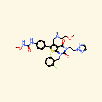 COCCN(C)Cc1c(-c2ccc(NC(=O)NOC)cc2)sc2c1c(=O)n(CCn1nccn1)c(=O)n2Cc1c(F)cccc1F